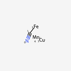 N#[C][Fe].[Cu].[Mn]